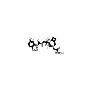 COc1ccc(C)cc1NC(=O)NCC(C)(C)CC(=O)N(CC(=O)NO)CC1CCC1